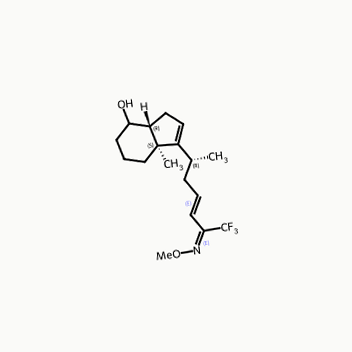 CO/N=C(\C=C\C[C@@H](C)C1=CC[C@H]2C(O)CCC[C@]12C)C(F)(F)F